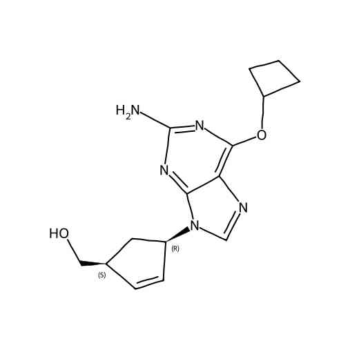 Nc1nc(OC2CCC2)c2ncn([C@H]3C=C[C@@H](CO)C3)c2n1